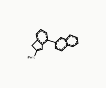 CCCC(C)C1=Cc2c(cccc2-c2ccc3ccccc3c2)[CH]1